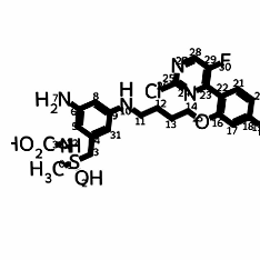 C[SH](O)(Cc1cc(N)cc(NCCCCOc2cc(F)ccc2-c2nc(Cl)ncc2F)c1)=NC(=O)O